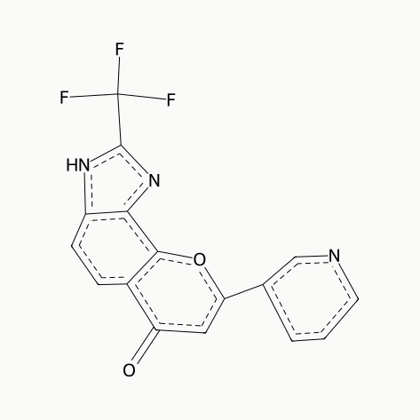 O=c1cc(-c2cccnc2)oc2c1ccc1[nH]c(C(F)(F)F)nc12